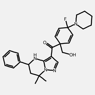 CC1(C)CC(c2ccccc2)Nc2c(C(=O)C3(CO)C=CC(F)(N4CCCCC4)C=C3)cnn21